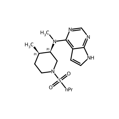 CCCS(=O)(=O)N1CC[C@@H](C)[C@@H](N(C)c2ncnc3[nH]ccc23)C1